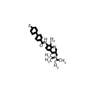 Cc1c(NC(=O)c2ccc(-c3ccc(F)cc3)cc2)ccc2cc(CN(C(C)C)C(C)C)cnc12